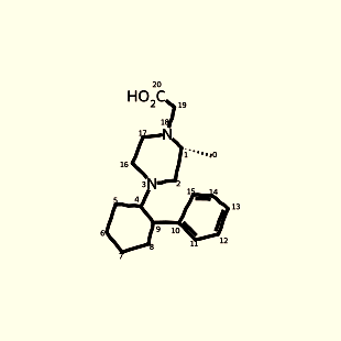 C[C@@H]1CN(C2CCCCC2c2ccccc2)CCN1CC(=O)O